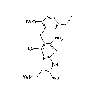 CCCCC(CCSC)Nc1nc(C)c(Cc2cc(CCl)ccc2OC)c(N)n1